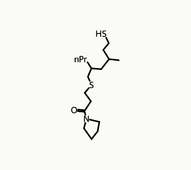 CCCC(CSCCC(=O)N1CCCC1)CC(C)CCS